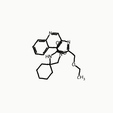 CCOCc1nc2cnc3ccccc3c2n1CC1(NC(=O)O)CCCCC1